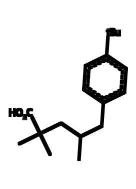 CC(Cc1ccc(C(C)(C)C)cc1)CC(C)(C)C(=O)O